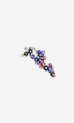 CC1(C)CCC(CN2CCN(c3ccc(C(=O)NS(=O)(=O)c4ccc(NCC5CCOCC5)c([N+](=O)[O-])c4)c(N4CCOc5nc6[nH]cnc6cc54)c3)CC2)=C(c2ccc(Cl)cc2)C1